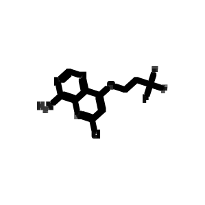 Nc1ncnc2c(OCCC(F)(F)F)cc(Cl)nc12